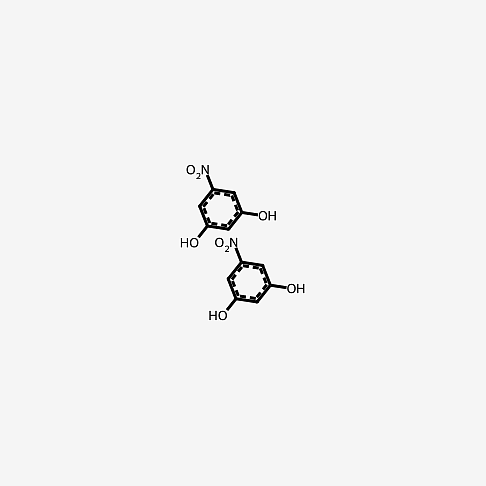 O=[N+]([O-])c1cc(O)cc(O)c1.O=[N+]([O-])c1cc(O)cc(O)c1